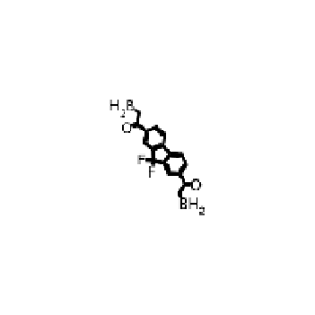 BCC(=O)c1ccc2c(c1)C(F)(F)c1cc(C(=O)CB)ccc1-2